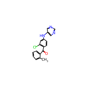 Cc1ccccc1C(=O)c1ccc(Nc2cncnc2)cc1Cl